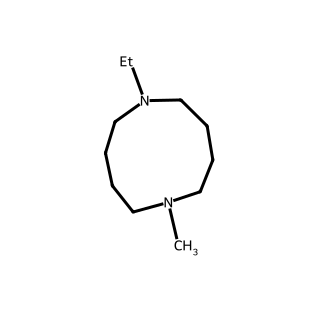 CCN1CCCCN(C)CCCC1